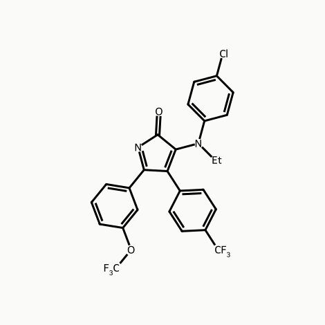 CCN(C1=C(c2ccc(C(F)(F)F)cc2)C(c2cccc(OC(F)(F)F)c2)=NC1=O)c1ccc(Cl)cc1